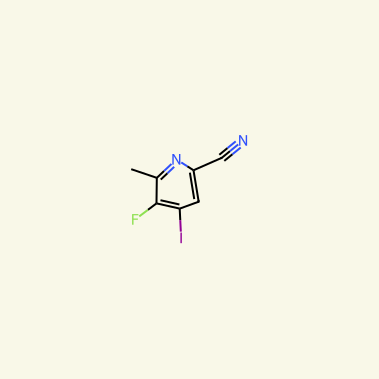 Cc1nc(C#N)cc(I)c1F